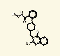 CCSNC(=O)c1ccccc1N1CCC(Cn2c(CC)nc3ccccc3c2=O)CC1